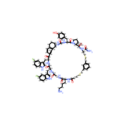 C[C@@]12CCCN1C(=O)[C@H](Cc1ccc(O)cc1)NC(=O)N[C@H]1CCCc3ccc(cc31)C(=O)[C@H](Cc1c[nH]c3ccc(F)cc13)NC(=O)[C@H](Cc1c[nH]c3ccc(F)cc13)NC(=O)CNC(=O)[C@H](CCCCN)NC(=O)CCSCc1cccc(c1)CSC[C@@H](C(N)=O)NC2=O